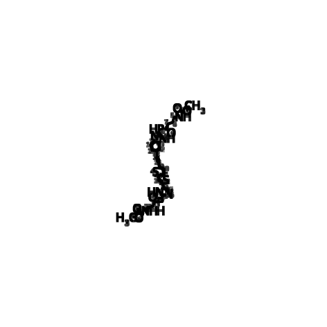 COC(=O)NCCCC(=O)Pc1nc2ccc(C#Cc3cc4sc(-c5cnc(PC(=O)CCNC(=O)OC)[nH]5)cc4s3)cc2[nH]1